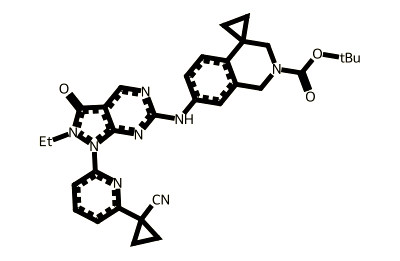 CCn1c(=O)c2cnc(Nc3ccc4c(c3)CN(C(=O)OC(C)(C)C)CC43CC3)nc2n1-c1cccc(C2(C#N)CC2)n1